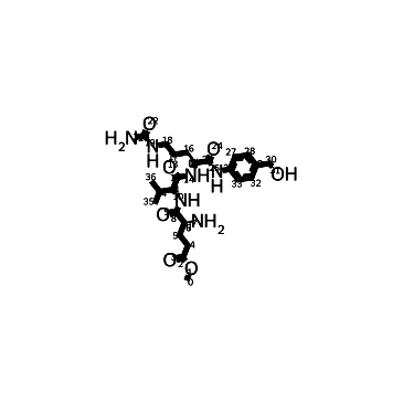 COC(=O)CC[C@@H](N)C(=O)NC(C(=O)N[C@@H](CCCNC(N)=O)C(=O)Nc1ccc(CO)cc1)C(C)C